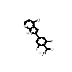 NC(=O)c1c(F)cc(-c2cc3c(Cl)ccnc3[nH]2)cc1F